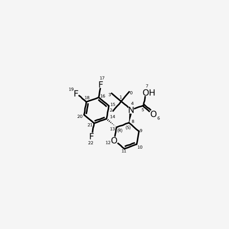 CC(C)(C)N(C(=O)O)[C@H]1CC=CO[C@@H]1c1cc(F)c(F)cc1F